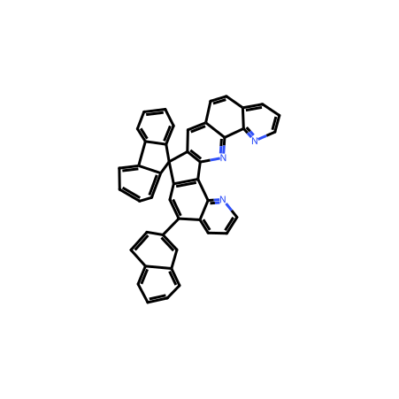 c1ccc2c(c1)-c1ccccc1C21c2cc3ccc4cccnc4c3nc2-c2c1cc(-c1ccc3ccccc3c1)c1cccnc21